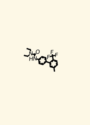 CCN(CC)C(=O)Nc1ccc(-c2cc(C)ccc2C(F)(F)F)cc1